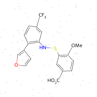 COc1ccc(C(=O)O)cc1SNc1cc(C(F)(F)F)ccc1-c1ccoc1